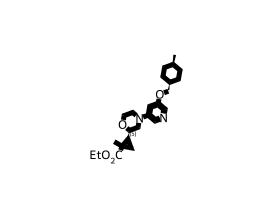 CCOC(=O)C1(C)CC1[C@H]1CN(c2cncc(OC[C@H]3CC[C@H](C)CC3)c2)CCO1